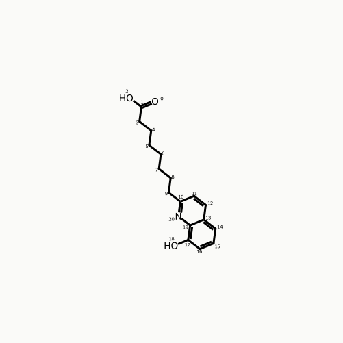 O=C(O)CCCCCCCc1ccc2cccc(O)c2n1